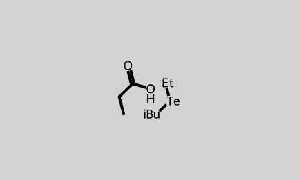 CCC(=O)O.CC[Te]C(C)CC